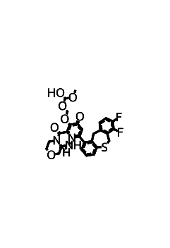 COC(O)OCOc1c2n(c(-c3cccc4c3Cc3ccc(F)c(F)c3CS4)cc1=O)N[C@@H]1COCCN1C2=O